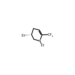 CC[C@@H]1CC=C(C(F)(F)F)N(CC)C1